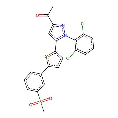 CC(=O)c1cc(-c2ccc(-c3cccc(S(C)(=O)=O)c3)s2)n(-c2c(Cl)cccc2Cl)n1